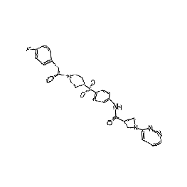 O=C(Nc1ccc(S(=O)(=O)C2CCN(C(=O)Cc3ccc(F)cc3)CC2)cc1)C1CN(c2cccnn2)C1